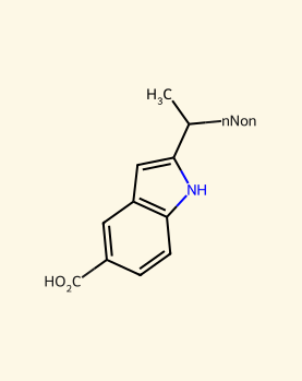 CCCCCCCCCC(C)c1cc2cc(C(=O)O)ccc2[nH]1